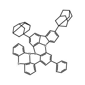 c1ccc(-c2cc3c4c(c2)-n2c5ccc(C67CC8CC(CC(C8)C6)C7)cc5c5cc(C67CC8CC(CC(C8)C6)C7)cc(c52)B4N2c4ccccc4Sc4cccc-3c42)cc1